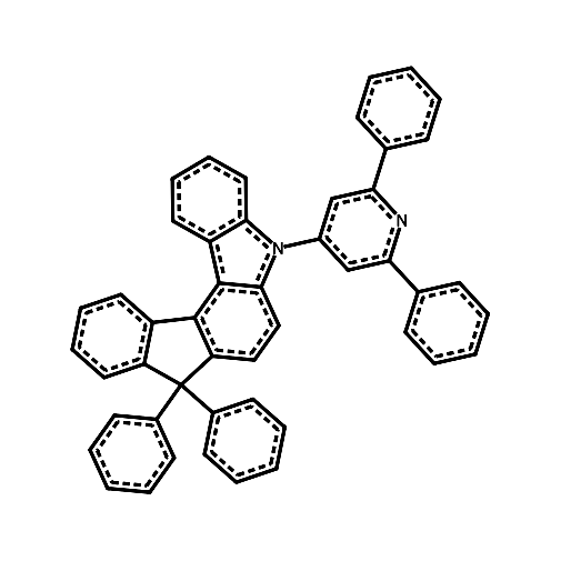 c1ccc(-c2cc(-n3c4ccccc4c4c5c(ccc43)C(c3ccccc3)(c3ccccc3)c3ccccc3-5)cc(-c3ccccc3)n2)cc1